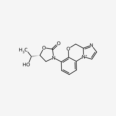 CC(O)[C@H]1CN(c2cccc3c2OCC2=NC=C[N+]23)C(=O)O1